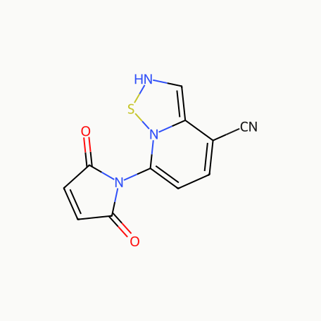 N#CC1=CC=C(N2C(=O)C=CC2=O)N2SNC=C12